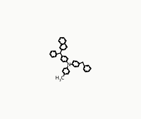 Cc1ccc(N(c2ccc(Cc3ccccc3)cc2)c2ccc(C(c3ccccc3)c3ccc4ccccc4c3)cc2)cc1